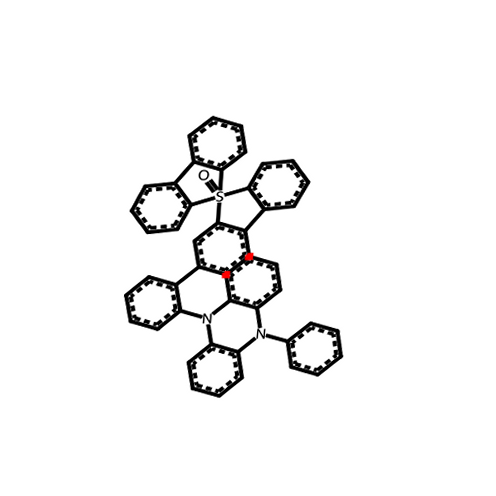 O=S12(c3ccccc3-c3ccccc31)c1ccccc1-c1ccc(-c3ccccc3N3c4ccccc4N(c4ccccc4)c4ccccc43)cc12